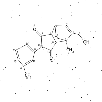 CC12OC(C=C1CO)C1C(=O)N(c3cccc(C(F)(F)F)c3)C(=O)C12